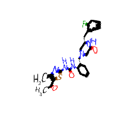 CC(=O)c1sc(NC(=O)N[C@@H]2CCCC[C@H]2CN2CC(=O)N[C@@H](Cc3ccccc3F)C2)nc1C